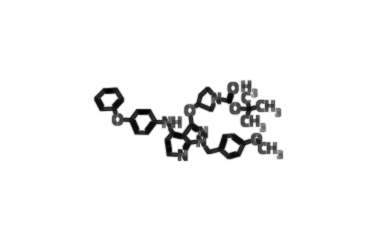 COc1ccc(Cn2nc(OC3CCN(C(=O)OC(C)(C)C)C3)c3c(Nc4ccc(Oc5ccccc5)cc4)ccnc32)cc1